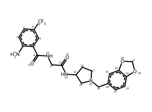 Nc1ccc(C(F)(F)F)cc1C(=O)NCC(=O)NC1CCN(Cc2ccc3c(c2)OCO3)C1